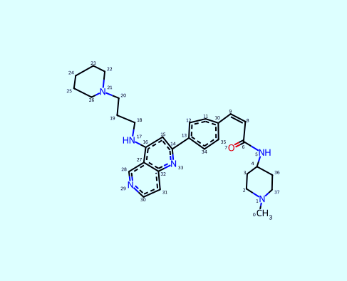 CN1CCC(NC(=O)/C=C\c2ccc(-c3cc(NCCCN4CCCCC4)c4cnccc4n3)cc2)CC1